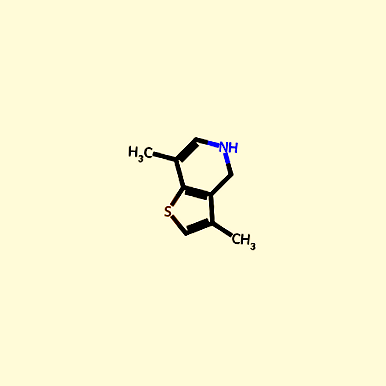 CC1=CNCc2c(C)csc21